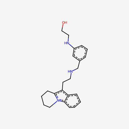 OCCNc1cccc(CNCCc2c3n(c4ccccc24)CCCC3)c1